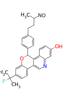 CC(CCc1ccc(C2Oc3cc(C(C)(C)F)ccc3-c3cnc4cc(O)ccc4c32)cc1)N=O